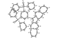 O=P(c1ccccc1)(c1ccccc1)c1cc(-n2c3cc4ccccc4cc3c3cc4ccccc4cc32)cc(P(=O)(c2ccccc2)c2ccccc2)c1